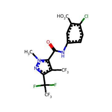 Cn1nc(C(F)(F)C(F)(F)F)c(C(F)(F)F)c1C(=O)Nc1ccc(Cl)c(C(=O)O)c1